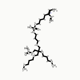 COCCCOCC(COCCCOP(=O)(O)OCCCC/C(=C/N)N=N)(CO[PH](=O)O)OCCCOC